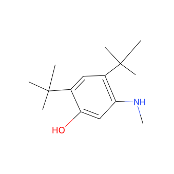 CNc1cc(O)c(C(C)(C)C)cc1C(C)(C)C